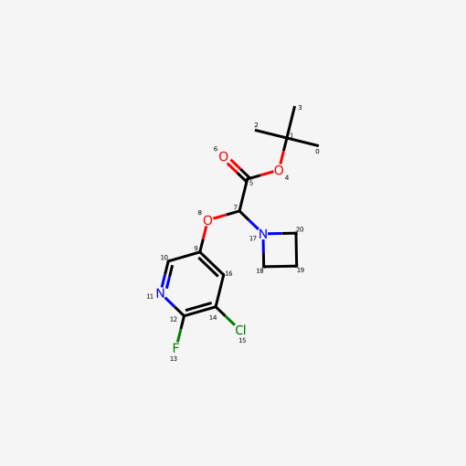 CC(C)(C)OC(=O)C(Oc1cnc(F)c(Cl)c1)N1CCC1